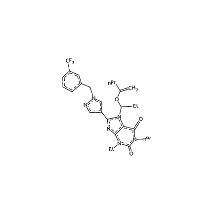 C=C(CCC)OC(CC)n1c(-c2cnn(Cc3cccc(C(F)(F)F)c3)c2)nc2c1c(=O)n(CCC)c(=O)n2CC